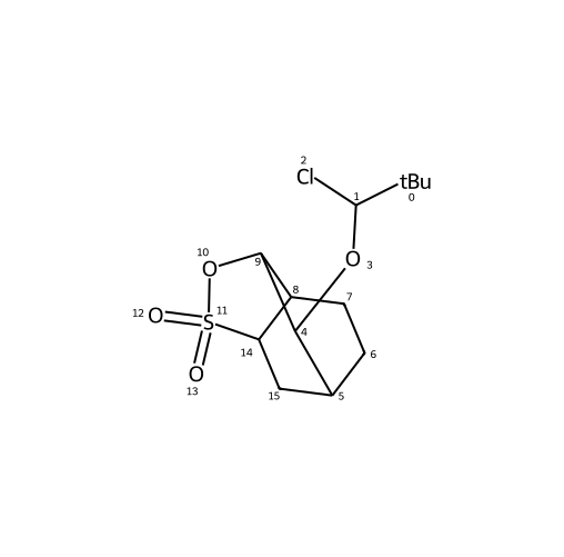 CC(C)(C)C(Cl)OC1C2CCC3C1OS(=O)(=O)C3C2